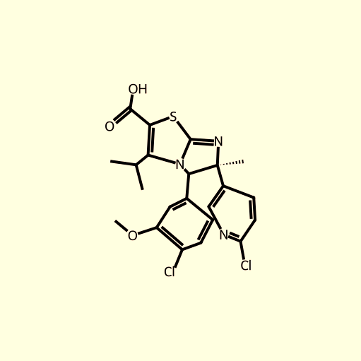 COc1cc(C2N3C(=N[C@@]2(C)c2ccc(Cl)nc2)SC(C(=O)O)=C3C(C)C)ccc1Cl